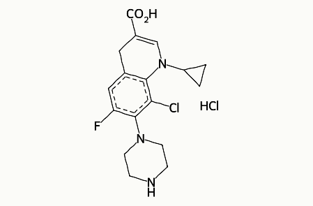 Cl.O=C(O)C1=CN(C2CC2)c2c(cc(F)c(N3CCNCC3)c2Cl)C1